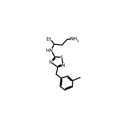 CCC(CCN)Nc1nc(Cc2cccc(C)c2)ns1